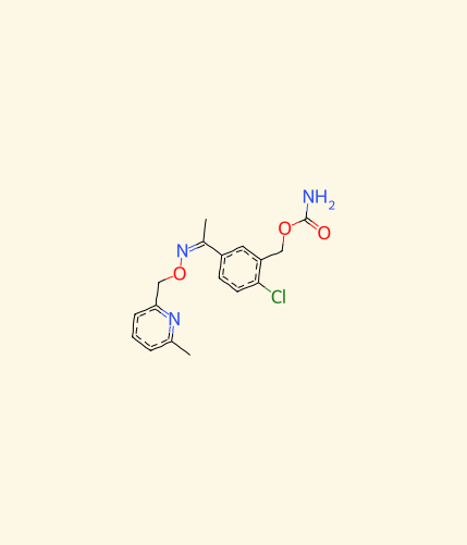 CC(=NOCc1cccc(C)n1)c1ccc(Cl)c(COC(N)=O)c1